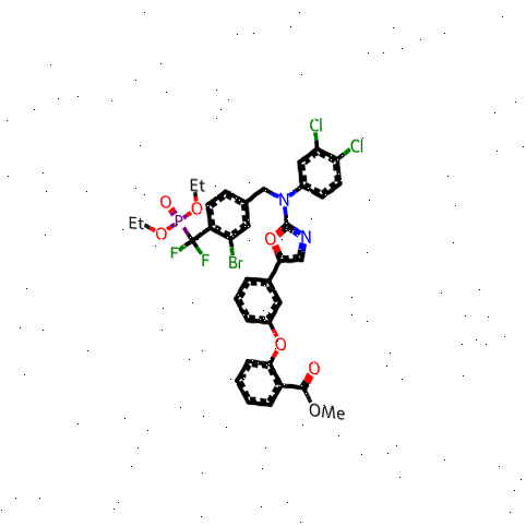 CCOP(=O)(OCC)C(F)(F)c1ccc(CN(c2ccc(Cl)c(Cl)c2)c2ncc(-c3cccc(Oc4ccccc4C(=O)OC)c3)o2)cc1Br